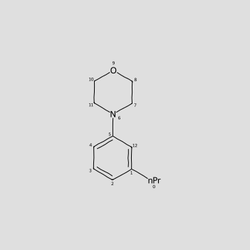 [CH2]CCc1cccc(N2CCOCC2)c1